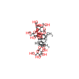 C=C1C[C@@]23CC[C@H]4[C@@](C)(CCC[C@@]4(C)C(=O)OC4OC(CO)C(O)C(O)C4O)[C@@H]2CC[C@]1(OC1OC(CO)C(O)C(OC2OC(CO)C(O)C(O)C2O)C1OC(O)OOCC(O)CO)C3